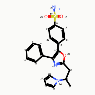 CC(Cc1nc(-c2ccccc2)c(-c2ccc(S(N)(=O)=O)cc2)o1)n1cccc1